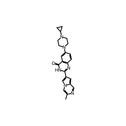 Cc1cn2cc(-c3nc4ccc(N5CCN(C6CC6)CC5)cc4c(=O)[nH]3)cc2cn1